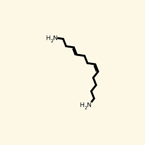 NCC/C=C/CC/C=C\CCCCN